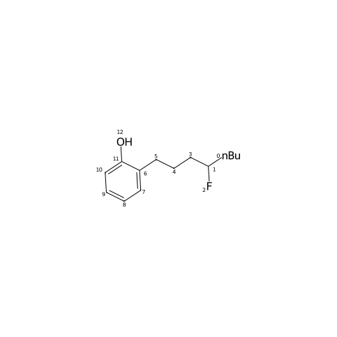 CCCCC(F)CCCc1ccccc1O